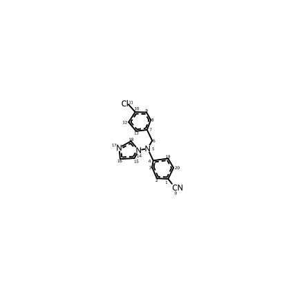 N#Cc1ccc(N(Cc2ccc(Cl)cc2)n2ccnc2)cc1